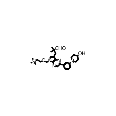 CC(C)(C=O)Cc1cn(COCC[Si](C)(C)C)c2ncc(-c3cccc(N4CCC(O)CC4)c3)nc12